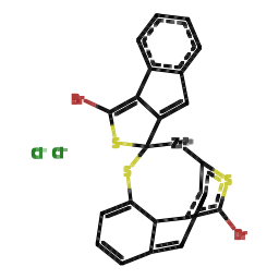 BrC1=C2C(=Cc3ccccc32)[C]2(SC3=CC=CC4=Cc5[c](sc(Br)c5C43)[Zr+2]2)S1.[Cl-].[Cl-]